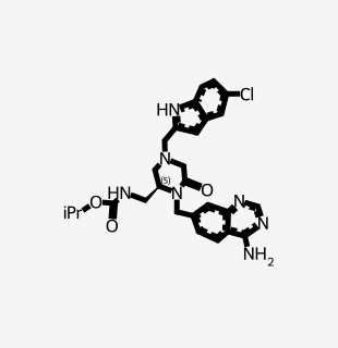 CC(C)OC(=O)NC[C@H]1CN(Cc2cc3cc(Cl)ccc3[nH]2)CC(=O)N1Cc1ccc2c(N)ncnc2c1